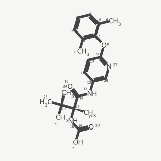 Cc1cccc(C)c1Oc1ccc(NC(=O)[C@](C)(NC(=O)O)C(C)(C)C)cn1